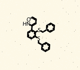 [c]1ccc(C2=CC=CON2)c(SCc2ccccc2)c1SCc1ccccc1